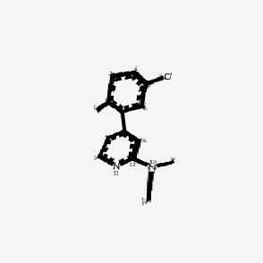 Cc1ccc(Cl)cc1-c1ccnc(N(C)C)c1